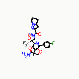 C[C@]1(C(N)=O)COc2c1cc(C(O)(CNC(=O)c1cc3ccccn3n1)C(F)(F)F)nc2-c1ccc(F)cc1